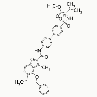 CCc1ccc2oc(C(=O)Nc3ccc(-c4ccc(S(=O)(=O)N[C@H](C(=O)OC)C(C)C)cc4)cc3)c(C)c2c1OCc1ccccc1